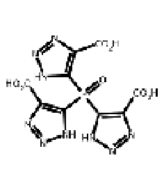 O=C(O)c1nn[nH]c1P(=O)(c1[nH]nnc1C(=O)O)c1[nH]nnc1C(=O)O